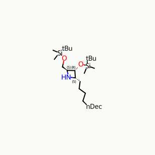 CCCCCCCCCCCCCC[C@@H]1N[C@@H](CO[Si](C)(C)C(C)(C)C)[C@@H]1O[Si](C)(C)C(C)(C)C